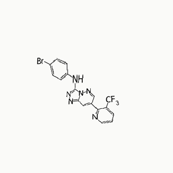 FC(F)(F)c1cccnc1-c1cnn2c(Nc3ccc(Br)cc3)nnc2c1